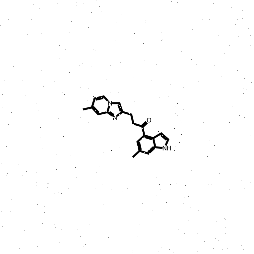 Cc1cc(C(=O)CCc2cn3ccc(C)cc3n2)c2cc[nH]c2c1